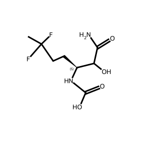 CC(F)(F)CC[C@H](NC(=O)O)C(O)C(N)=O